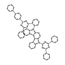 c1ccc(-c2ccc(-c3nc(-c4ccccc4)cc(-c4ccccc4-n4c5ccccc5c5c6c7ccccc7n(-c7nc(-c8ccccc8)nc(-c8ccccc8)n7)c6ccc54)n3)cc2)cc1